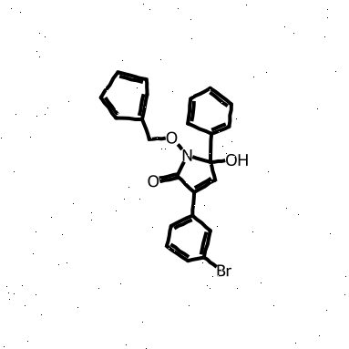 O=C1C(c2cccc(Br)c2)=CC(O)(c2ccccc2)N1OCc1ccccc1